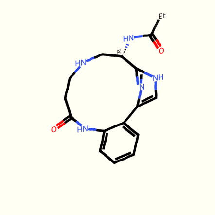 CCC(=O)N[C@H]1CNCCC(=O)Nc2ccccc2-c2c[nH]c1n2